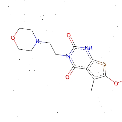 COc1sc2[nH]c(=O)n(CCN3CCOCC3)c(=O)c2c1C